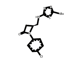 CC(C)(C)c1nnc(NC[C@@H]2CC(=O)N2c2ccc(Cl)cc2)s1